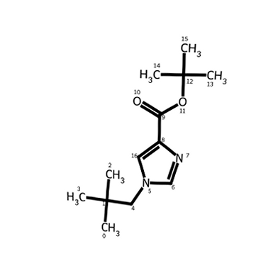 CC(C)(C)Cn1cnc(C(=O)OC(C)(C)C)c1